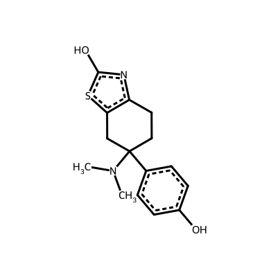 CN(C)C1(c2ccc(O)cc2)CCc2nc(O)sc2C1